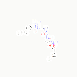 COc1cccc(NC(=O)NC[C@H]2CCCN2C(=O)CN2CCC[C@H](NS(=O)(=O)/C=C/c3ccc(Cl)s3)C2=O)c1